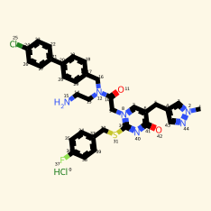 Cl.Cn1cc(Cc2cn(CC(=O)N(CCN)Cc3ccc(-c4ccc(Cl)cc4)cc3)c(SCc3ccc(F)cc3)nc2=O)cn1